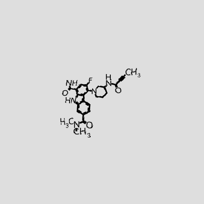 CC#CC(=O)NC1CCCN(c2c(F)cc(C(N)=O)c3[nH]c4cc(C(=O)N(C)C)ccc4c23)C1